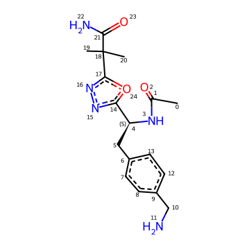 CC(=O)N[C@@H](Cc1ccc(CN)cc1)c1nnc(C(C)(C)C(N)=O)o1